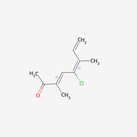 C=C/C(C)=C(Cl)\C=C(/C)C(C)=O